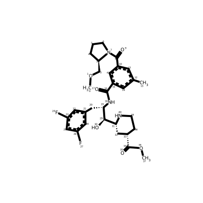 COC[C@H]1CCCN1C(=O)c1cc(C)cc(C(=O)N[C@@H](Cc2cc(F)cc(F)c2)[C@H](O)[C@H]2C[C@@H](C(=O)OC)CCN2)c1